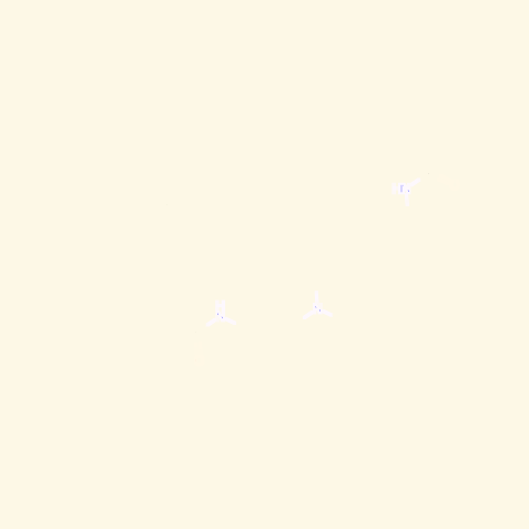 CCC(=O)Nc1cccc(C2CCN(CCCNC(=O)C(c3ccc(Cl)cc3)c3ccc(Cl)cc3)CC2)c1